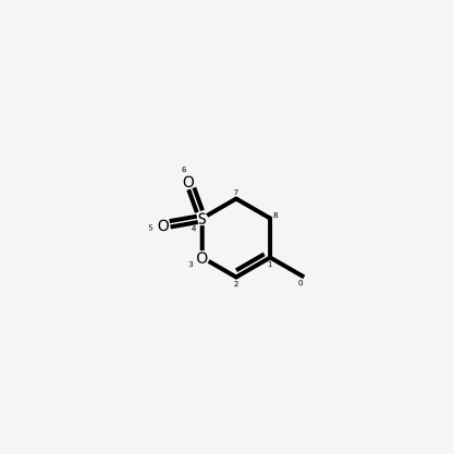 CC1=COS(=O)(=O)CC1